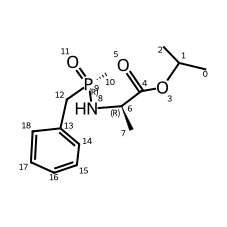 CC(C)OC(=O)[C@@H](C)N[P@](C)(=O)Cc1ccccc1